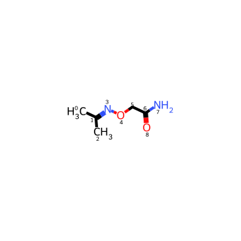 CC(C)=NOCC(N)=O